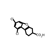 O=C(O)C1CCc2c(oc3cc(Cl)cc(Cl)c23)C1